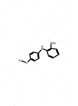 CCOc1ccc(Nc2[c]cccc2OC)cc1